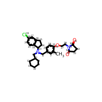 Cc1cc(CN(CC2CCCCC2)C2CCc3cc(Cl)ccc32)ccc1OCCN1C(=O)CCC1=O